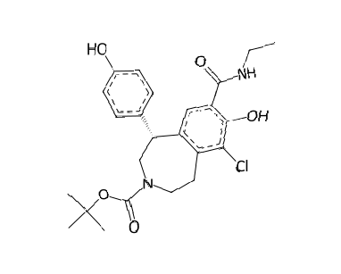 CCNC(=O)c1cc2c(c(Cl)c1O)CCN(C(=O)OC(C)(C)C)C[C@@H]2c1ccc(O)cc1